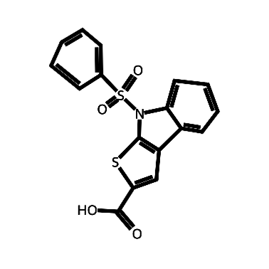 O=C(O)c1cc2c3ccccc3n(S(=O)(=O)c3ccccc3)c2s1